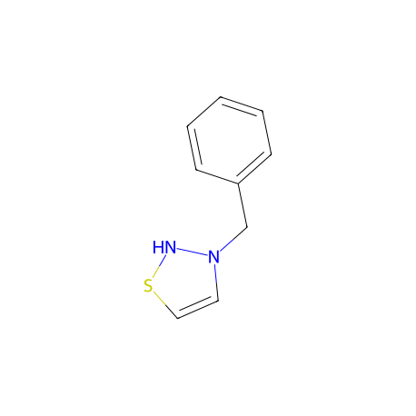 C1=CN(Cc2ccccc2)NS1